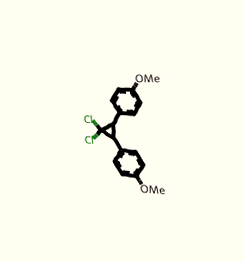 COc1ccc(C2C(c3ccc(OC)cc3)C2(Cl)Cl)cc1